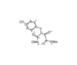 COC(=O)C(=O)C(Cc1ccc(Cl)cc1)C(=O)OC